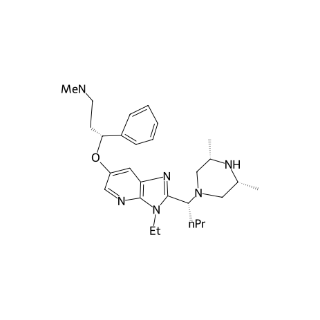 CCC[C@H](c1nc2cc(O[C@H](CCNC)c3ccccc3)cnc2n1CC)N1C[C@@H](C)N[C@@H](C)C1